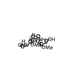 COc1cnc(C(=O)Nc2cccc(-c3nccc(-c4ccc(CNCC5CCC(=O)N5)c(OC)n4)c3Cl)c2C)cc1CN1CCC(O)C1